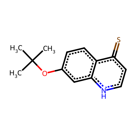 CC(C)(C)Oc1ccc2c(=S)cc[nH]c2c1